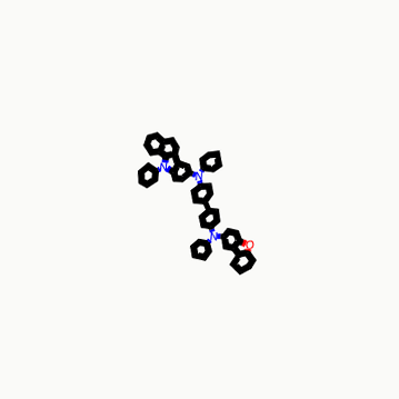 c1ccc(N(c2ccc(-c3ccc(N(c4ccccc4)c4ccc5c(c4)c4ccc6ccccc6c4n5-c4ccccc4)cc3)cc2)c2ccc3oc4ccccc4c3c2)cc1